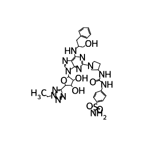 CCn1nnc(C2OC(n3cnc4c(NC(CO)Cc5ccccc5)nc(N5CCC(NC(=O)Nc6ccc(S(N)(=O)=O)cc6)C5)nc43)C(O)C2O)n1